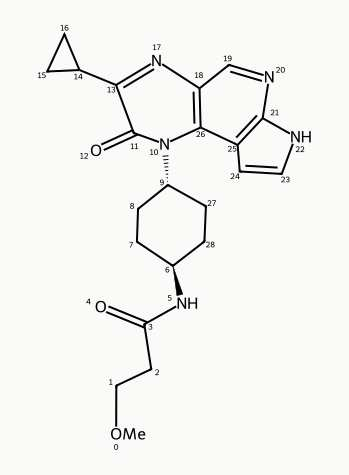 COCCC(=O)N[C@H]1CC[C@H](n2c(=O)c(C3CC3)nc3cnc4[nH]ccc4c32)CC1